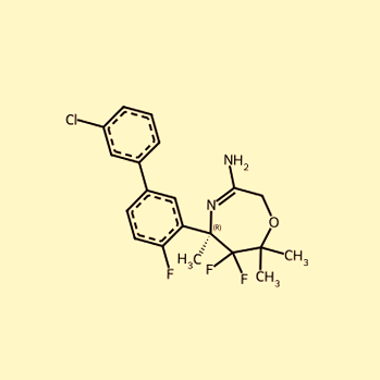 CC1(C)OCC(N)=N[C@](C)(c2cc(-c3cccc(Cl)c3)ccc2F)C1(F)F